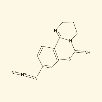 [N-]=[N+]=Nc1ccc2c(c1)SC(=N)N1CCCN=C21